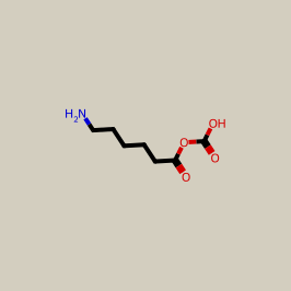 NCCCCCC(=O)OC(=O)O